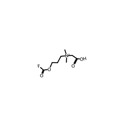 C[N+](C)(CCCOC(=O)F)CC(=O)O